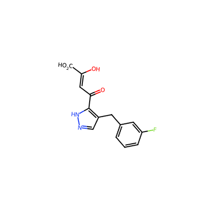 O=C(O)C(O)=CC(=O)c1[nH]ncc1Cc1cccc(F)c1